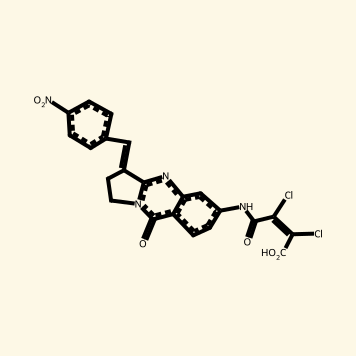 O=C(O)/C(Cl)=C(/Cl)C(=O)Nc1ccc2c(=O)n3c(nc2c1)/C(=C/c1ccc([N+](=O)[O-])cc1)CC3